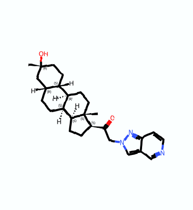 C[C@@]1(O)CC[C@H]2[C@H](CC[C@H]3[C@@H]2CC[C@]2(C)[C@@H](C(=O)Cn4cc5cnccc5n4)CC[C@@H]32)C1